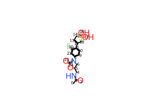 CC(=O)NCC1CN(c2ccc(C3=CCS(O)(O)C3)c(F)c2)C(=O)O1